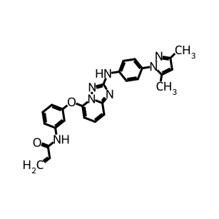 C=CC(=O)Nc1cccc(Oc2cccc3nc(Nc4ccc(-n5nc(C)cc5C)cc4)nn23)c1